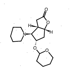 O=C1C[C@H]2[C@H](N3CCCCC3)[C@@H](OC3CCCCO3)C[C@H]2O1